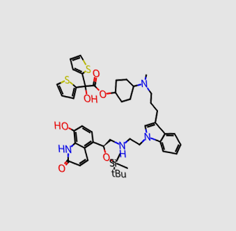 CN(CCCc1cn(CCNC[C@@H](O[Si](C)(C)C(C)(C)C)c2ccc(O)c3[nH]c(=O)ccc23)c2ccccc12)C1CCC(OC(=O)C(O)(c2cccs2)c2cccs2)CC1